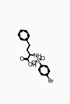 O=C(O)C(CCc1ccccc1)NS(=O)(=O)c1ccc(Br)cc1